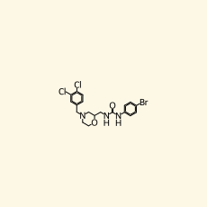 O=C(NCC1CN(Cc2ccc(Cl)c(Cl)c2)CCO1)Nc1ccc(Br)cc1